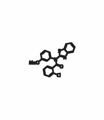 COc1cccc(N(C(=O)c2ccccc2Cl)c2nc3ccccc3s2)c1